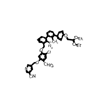 CCOC(COc1ccc(-c2cccc(-c3cccc(COc4cc(OCc5cncc(C#N)c5)c(C=O)cc4Cl)c3C)c2C)cc1)OCC